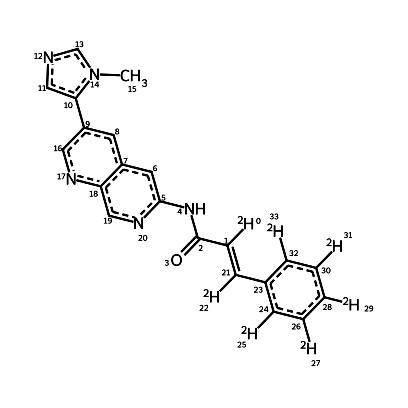 [2H]/C(C(=O)Nc1cc2cc(-c3cncn3C)cnc2cn1)=C(/[2H])c1c([2H])c([2H])c([2H])c([2H])c1[2H]